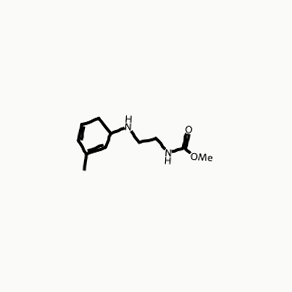 COC(=O)NCCNC1C=C(C)C=CC1